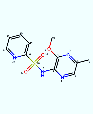 COc1nc(C)cnc1NS(=O)(=O)c1ccccn1